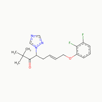 CC(C)(C)C(=O)C(C/C=C/COc1cccc(F)c1F)n1cncn1